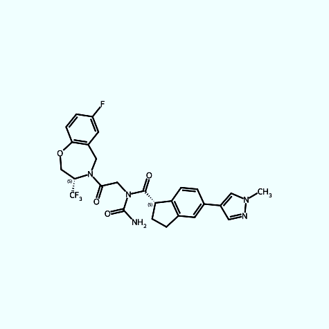 Cn1cc(-c2ccc3c(c2)CC[C@@H]3C(=O)N(CC(=O)N2Cc3cc(F)ccc3OC[C@H]2C(F)(F)F)C(N)=O)cn1